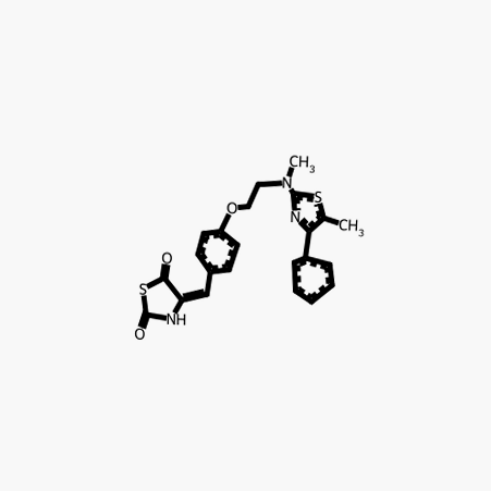 Cc1sc(N(C)CCOc2ccc(C=C3NC(=O)SC3=O)cc2)nc1-c1ccccc1